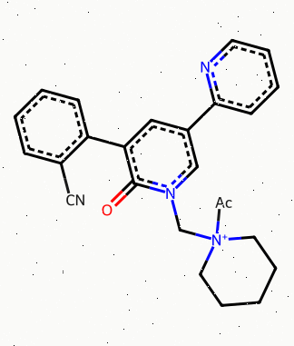 CC(=O)[N+]1(Cn2cc(-c3ccccn3)cc(-c3ccccc3C#N)c2=O)CCCCC1